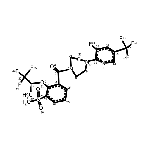 C[C@H](Oc1c(C(=O)N2CCN(c3ncc(C(F)(F)F)cc3F)CC2)cccc1S(C)(=O)=O)C(F)(F)F